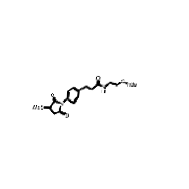 CCCCOCCNC(=O)CCc1ccc(N2C(=O)CC(SC)C2=O)cc1